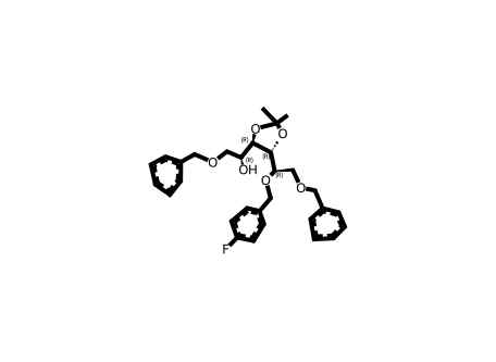 CC1(C)O[C@H]([C@H](O)COCc2ccccc2)[C@@H]([C@@H](COCc2ccccc2)OCc2ccc(F)cc2)O1